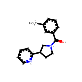 O=C(O)c1cccc(C(=O)N2CCC(c3ccccn3)C2)c1